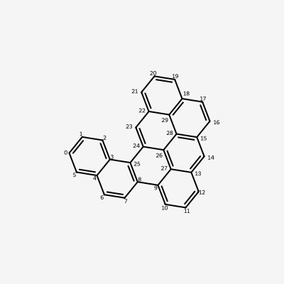 c1ccc2c(c1)ccc1c3cccc4cc5ccc6cccc7cc(c21)c(c43)c5c67